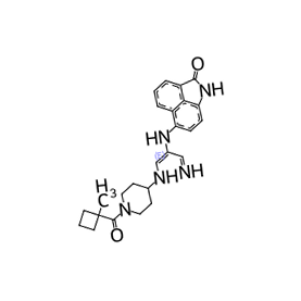 CC1(C(=O)N2CCC(N/C=C(\C=N)Nc3ccc4c5c(cccc35)C(=O)N4)CC2)CCC1